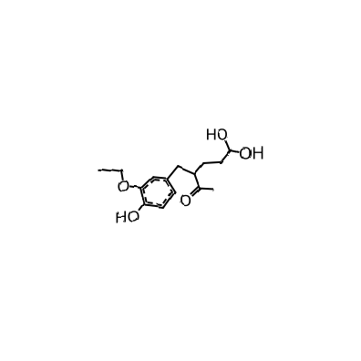 CCOc1cc(CC(CCC(O)O)C(C)=O)ccc1O